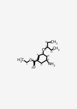 CCOC(=O)C1=CC(OC(CC)CC)CC(N)C1